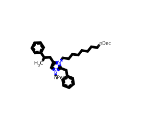 CCCCCCCCCCCCCCCCCC[n+]1c(CC(C)c2ccccc2)cn(CCCCC)c1Cc1ccccc1